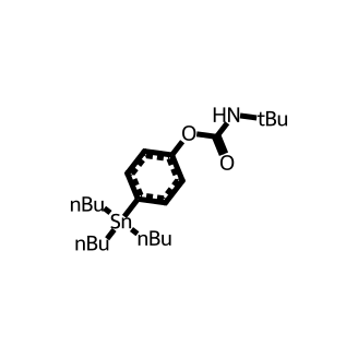 CCC[CH2][Sn]([CH2]CCC)([CH2]CCC)[c]1ccc(OC(=O)NC(C)(C)C)cc1